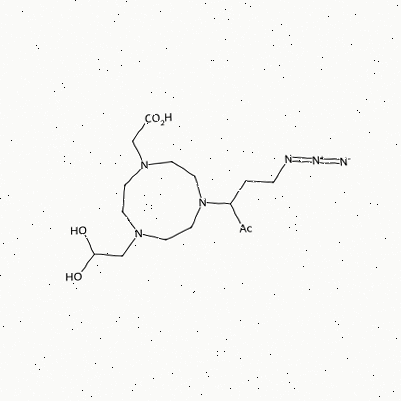 CC(=O)C(CCN=[N+]=[N-])N1CCN(CC(=O)O)CCN(CC(O)O)CC1